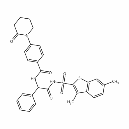 Cc1ccc2c(C)c(S(=O)(=O)NC(=O)C(NC(=O)c3ccc(N4CCCCC4=O)cc3)c3ccccc3)sc2c1